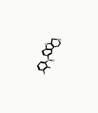 [O-][S+](c1ccc2oc3c(c2c1)CCNC3)c1cccc(F)c1F